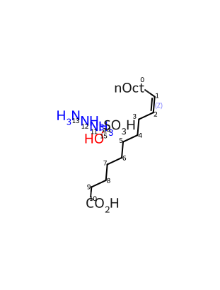 CCCCCCCC/C=C\CCCCCCCC(=O)O.N.N.N.O=S(=O)(O)O